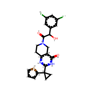 O=C(C(O)c1cc(F)cc(F)c1)N1CCc2nc(C3(c4cccs4)CC3)[nH]c(=O)c2C1